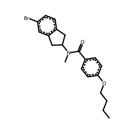 CCCCOc1ccc(C(=O)N(C)C2Cc3ccc(Br)cc3C2)cc1